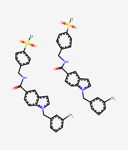 CCS(=O)(=O)c1ccc(CNC(=O)c2ccc3c(ccn3Cc3cccc(C(F)(F)F)c3)c2)cc1.CCS(=O)(=O)c1ccc(CNC(=O)c2ccc3c(ccn3Cc3cccc(C(F)(F)F)c3)c2)cc1